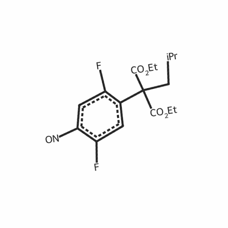 CCOC(=O)C(CC(C)C)(C(=O)OCC)c1cc(F)c(N=O)cc1F